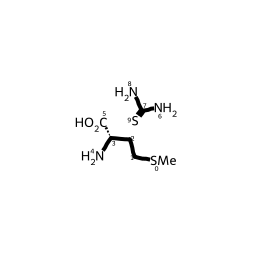 CSCC[C@H](N)C(=O)O.NC(N)=S